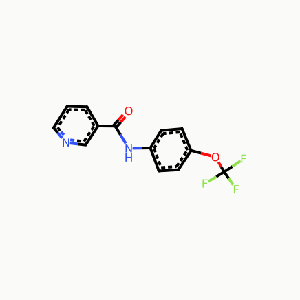 O=C(Nc1ccc(OC(F)(F)F)cc1)c1cccnc1